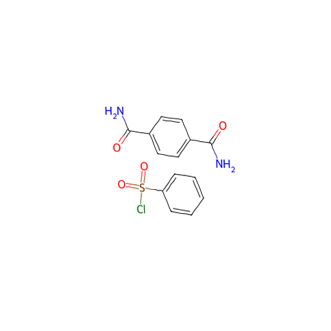 NC(=O)c1ccc(C(N)=O)cc1.O=S(=O)(Cl)c1ccccc1